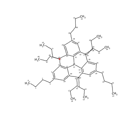 CCCCc1cc(CCCC)c(P(c2c(CCCC)cc(CCCC)cc2CCCC)c2c(CCCC)cc(CCCC)cc2CCCC)c(CCCC)c1